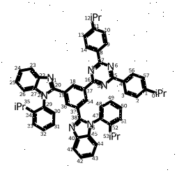 CC(C)c1ccc(-c2nc(-c3ccc(C(C)C)cc3)nc(-c3cc(-c4nc5ccccc5n4-c4ccccc4C(C)C)cc(-c4nc5ccccc5n4-c4ccccc4C(C)C)c3)n2)cc1